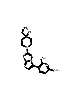 COc1ccc(-c2cnc3sc(N4CCC(O)(CN)CC4)nn23)c(OC)n1